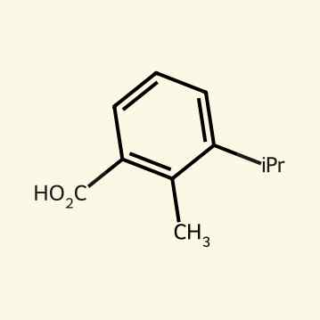 Cc1c(C(=O)O)cccc1C(C)C